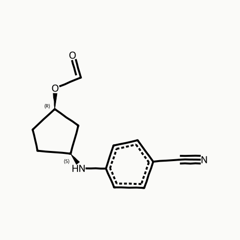 N#Cc1ccc(N[C@H]2CC[C@@H](OC=O)C2)cc1